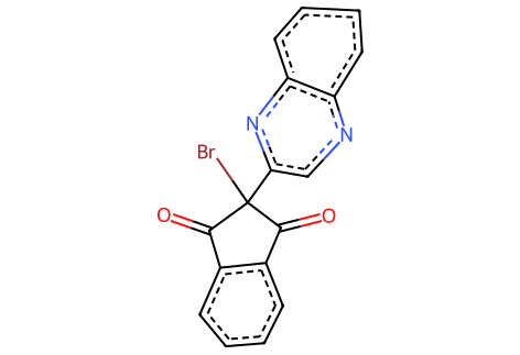 O=C1c2ccccc2C(=O)C1(Br)c1cnc2ccccc2n1